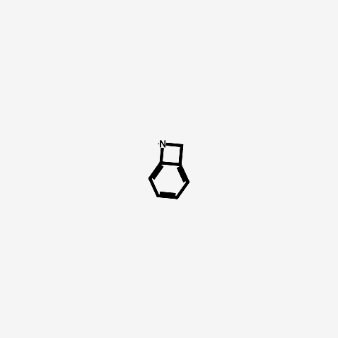 c1ccc2c(c1)C[N]2